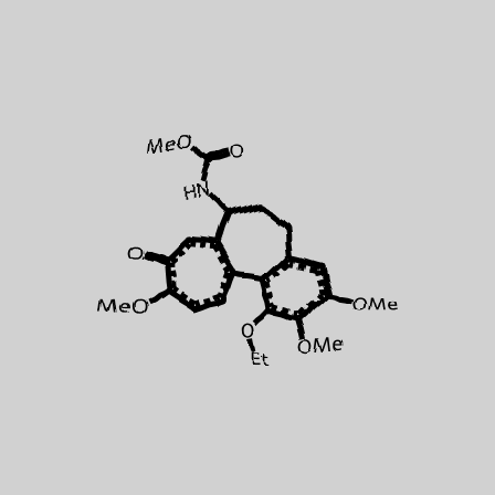 CCOc1c(OC)c(OC)cc2c1-c1ccc(OC)c(=O)cc1C(NC(=O)OC)CC2